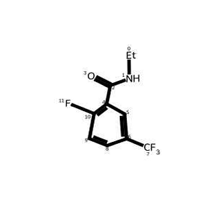 CCNC(=O)c1cc(C(F)(F)F)ccc1F